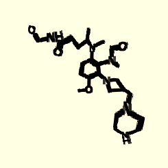 COc1ccc(N(C)C(C)CCC(=O)NC=O)c(N(C)C=O)c1N1CC(CN2CCNCC2)C1